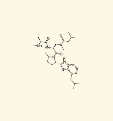 CN[C@@H](C)C(=O)N[C@@H](CN(C)C(=O)CC(C)C)C(=O)N1C(C)CC[C@H]1c1nc2c(CC(C)C)cccc2[nH]1